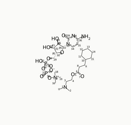 CN(C)CCOC(=O)CCC1CCCCC1.C[N+](C)(C)OP(=O)([O-])OP(=O)(O)OC[C@H]1O[C@@H](n2ccc(N)nc2=O)[C@H](O)[C@@H]1O